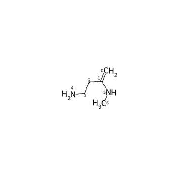 C=C(CCN)NC